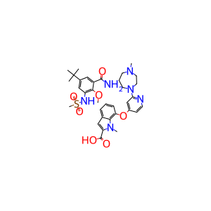 CN1CCCN(c2cc(Oc3cccc4cc(C(=O)O)n(C)c34)ccn2)CC1.COc1c(NS(C)(=O)=O)cc(C(C)(C)C)cc1C(N)=O